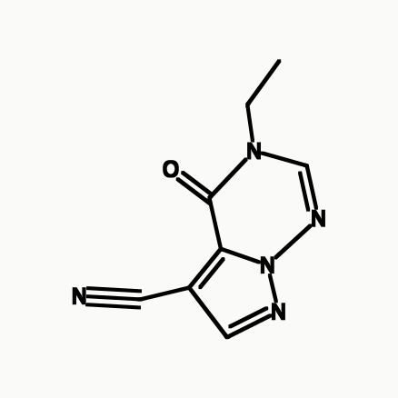 CCn1cnn2ncc(C#N)c2c1=O